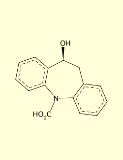 O=C(O)N1c2ccccc2C[C@H](O)c2ccccc21